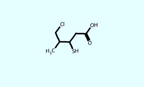 CC(CCl)C(S)CC(=O)O